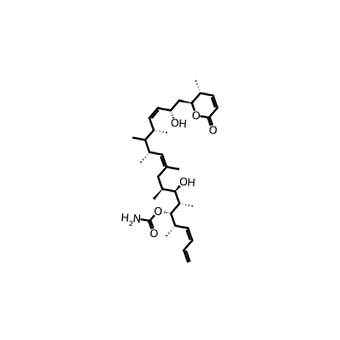 C=C/C=C\[C@H](C)[C@H](OC(N)=O)[C@@H](C)[C@H](O)[C@@H](C)C/C(C)=C\[C@H](C)C(C)[C@@H](C)/C=C\[C@@H](O)C[C@@H]1OC(=O)C=C[C@H]1C